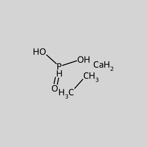 CC.O=[PH](O)O.[CaH2]